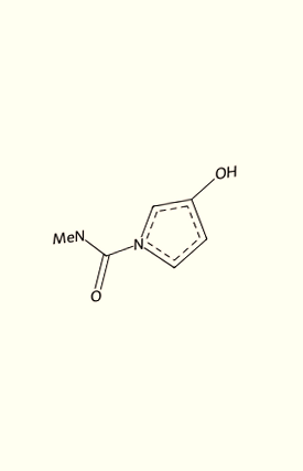 CNC(=O)n1ccc(O)c1